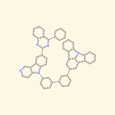 c1ccc(-c2nc(-c3ccc4c(c3)c3cnccc3n4-c3cccc(-c4cccc(-c5cc6c7ccccc7n7c8ccccc8c(c5)c67)c4)c3)nc3ccccc23)cc1